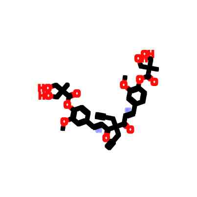 C#CCC(CC#C)(C(=O)/C=C/c1ccc(OC(=O)C(C)(CO)CO)c(OC)c1)C(=O)/C=C/c1ccc(OC(=O)C(C)(CO)CO)c(OC)c1